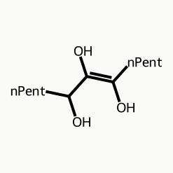 CCCCCC(O)=C(O)C(O)CCCCC